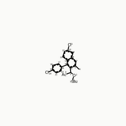 CC(=O)C(OC(C)(C)C)c1c(C)cc2cc(Cl)ccc2c1-c1ccc(Cl)cc1